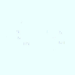 Cc1cc(Nc2ccc(S(=O)(=O)Nc3nccs3)c(F)c2)n(-c2c(Cl)cccc2Cl)n1